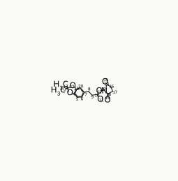 CC1(C)Oc2ccc(CCC(=O)ON3C(=O)CCC3=O)cc2O1